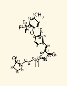 Cc1ccc(Oc2ccc(/C=C3\SC(NCCCN4CCCC4=O)=NC3=O)cc2F)c(C(F)(F)F)c1